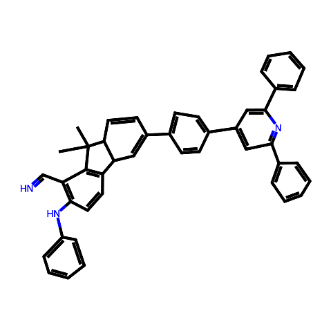 CC1(C)c2c(ccc(Nc3ccccc3)c2C=N)C2C=C(c3ccc(-c4cc(-c5ccccc5)nc(-c5ccccc5)c4)cc3)C=CC21